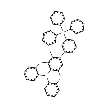 N#Cc1c(-c2cccc(S(c3ccccc3)(c3ccccc3)c3ccccc3)c2)cc2c3c1Oc1ccccc1B3c1ccccc1O2